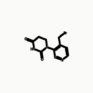 O=C1CCN(c2nnccc2CBr)C(=O)N1